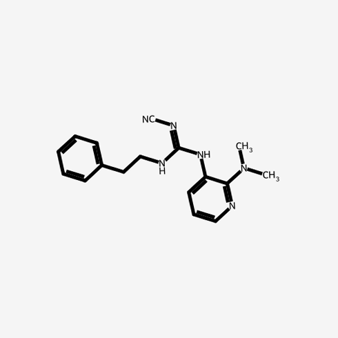 CN(C)c1ncccc1NC(=NC#N)NCCc1ccccc1